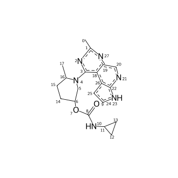 Cc1nc(N2CC(OC(=O)NC3CC3)CCC2C)c2c(cnc3[nH]ccc32)n1